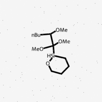 CCCCC(OC)C(OC)(OC)[SiH]1CCCCO1